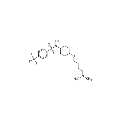 CN(C)CCCCOC1CCC(N(C)S(=O)(=O)c2ccc(C(F)(F)F)cc2)CC1